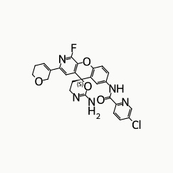 NC1=NCC[C@]2(O1)c1cc(NC(=O)c3ccc(Cl)cn3)ccc1Oc1c2cc(C2=CCCOC2)nc1F